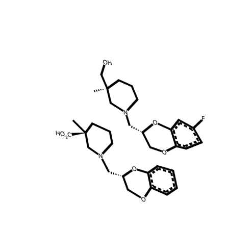 C[C@]1(C(=O)O)CCCN(C[C@H]2COc3ccccc3O2)C1.C[C@]1(CO)CCCN(C[C@H]2COc3ccc(F)cc3O2)C1